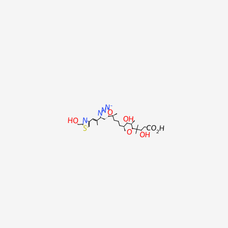 C/C(=C\c1csc(CO)n1)[C@H](C[C@@H]1O[C@]1(C)CCC[C@H](C)[C@H](O)[C@@H](C)C(=O)C(C)(C)[C@@H](O)CC(=O)O)N=[N+]=[N-]